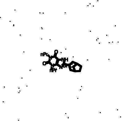 CCCn1c(=O)c2[nH]c(C3CC4CCC(C3)C4C=O)nc2n(CCC)c1=O